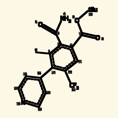 Cc1c(C(N)=O)c(C(=O)OC(C)(C)C)cc(C(F)(F)F)c1-c1ccncc1